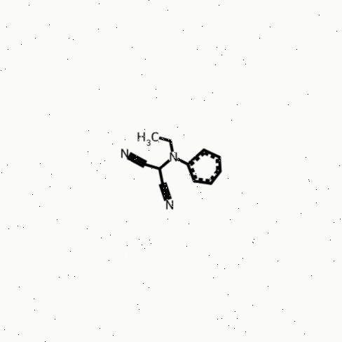 CCN(c1ccccc1)C(C#N)C#N